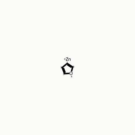 [Zn].c1ccoc1